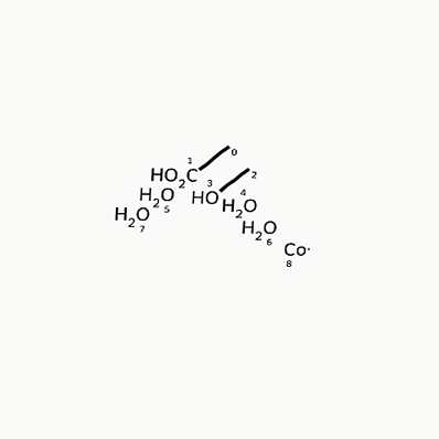 CC(=O)O.CO.O.O.O.O.[Co]